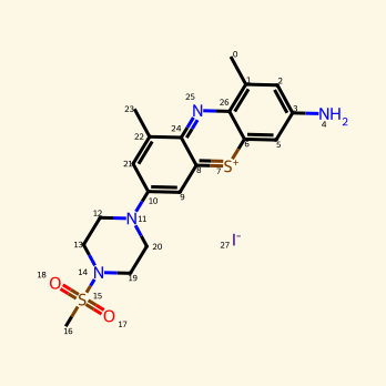 Cc1cc(N)cc2[s+]c3cc(N4CCN(S(C)(=O)=O)CC4)cc(C)c3nc12.[I-]